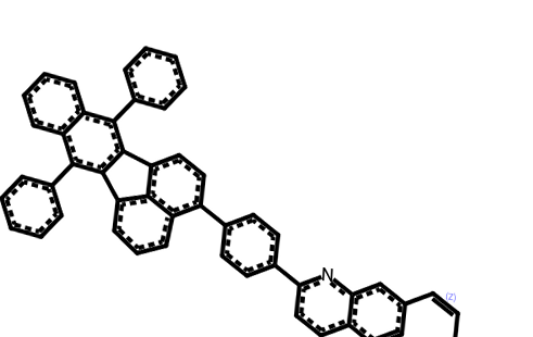 N=C/C=C\c1c#cc2ccc(-c3ccc(-c4ccc5c6c(cccc46)-c4c-5c(-c5ccccc5)c5ccccc5c4-c4ccccc4)cc3)nc2c1